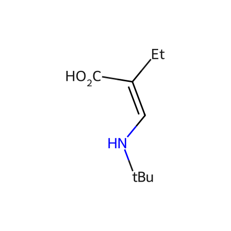 CCC(=CNC(C)(C)C)C(=O)O